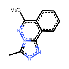 COc1nn2c(C)nnc2c2ccccc12